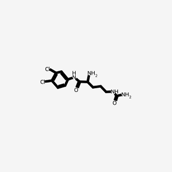 NC(=O)NCCCC(N)C(=O)Nc1ccc(Cl)c(Cl)c1